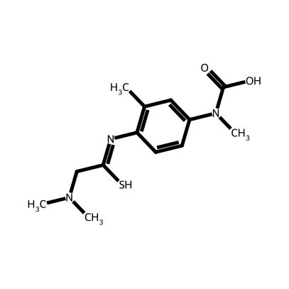 Cc1cc(N(C)C(=O)O)ccc1/N=C(\S)CN(C)C